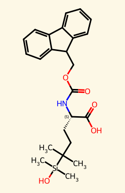 CC(C)(CC[C@H](NC(=O)OCC1c2ccccc2-c2ccccc21)C(=O)O)[Si](C)(C)O